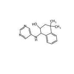 CC1(C)CC(O)C(Nc2cncnc2)c2ccccc21